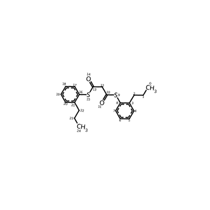 CCCc1ccccc1SC(=O)CC(=O)Sc1ccccc1CCC